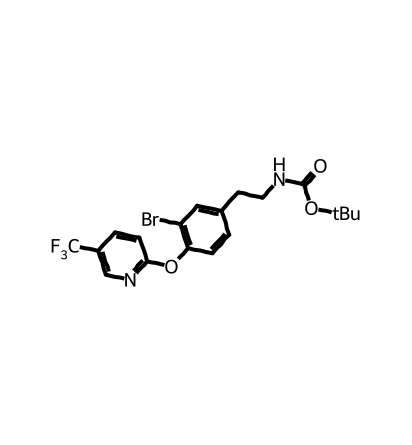 CC(C)(C)OC(=O)NCCc1ccc(Oc2ccc(C(F)(F)F)cn2)c(Br)c1